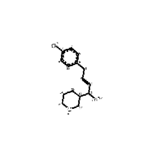 CCC[C](C=CCc1ccc(Cl)cc1)C1CCCOC1